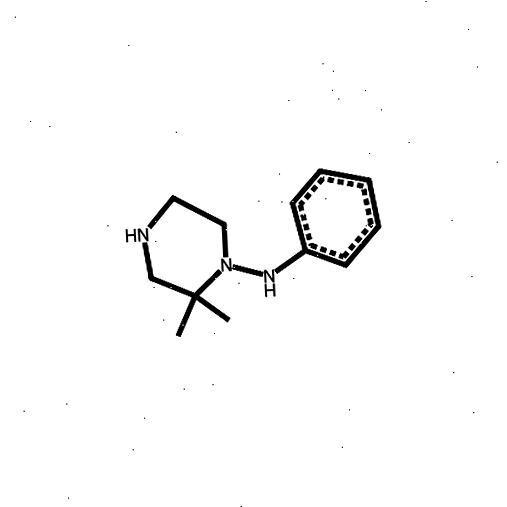 CC1(C)CNCCN1Nc1ccccc1